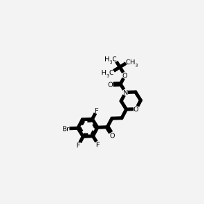 CC(C)(C)OC(=O)N1CCOC(CCC(=O)c2c(F)cc(Br)c(F)c2F)C1